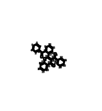 O=C(c1ccccc1)c1ccccc1-c1oc2ccccc2c(=O)c1C(=O)c1ccccc1